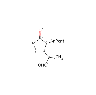 CCCCCC1C(=O)CCC1C(C)C=O